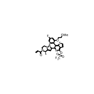 C=CC(=O)N1CCn2nc(-c3nc(OS(=O)(=O)C(F)(F)F)c4ccsc4c3-c3c(F)cc(F)cc3OCCOC)cc2[C@H]1C